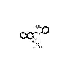 Nc1ccccc1OCc1cc2ccccc2cc1O.O=P(O)(O)O